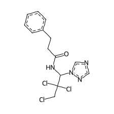 O=C(CCc1ccccc1)NC(n1cncn1)C(Cl)(Cl)CCl